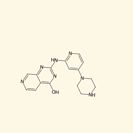 Oc1nc(Nc2cc(N3CCNCC3)ccn2)nc2cnccc12